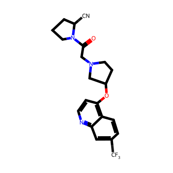 N#CC1CCCN1C(=O)CN1CCC(Oc2ccnc3cc(C(F)(F)F)ccc23)C1